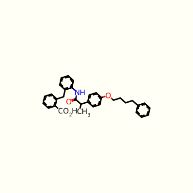 CC(C(=O)Nc1ccccc1Cc1ccccc1C(=O)O)c1ccc(OCCCCc2ccccc2)cc1